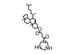 CC(C)CCC[C@@H](C)C1C=C2CC(OC(=O)CCC(=O)N3CCNCCNCC3)CCC2(C)C2CCC3(C)CCCC3C12